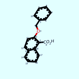 O=C(O)c1c(OCc2ccccc2)ccc2ccccc12